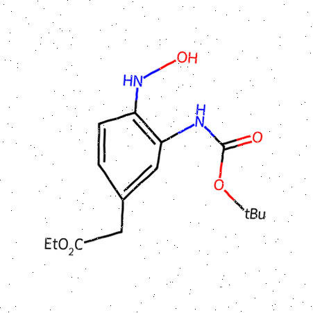 CCOC(=O)Cc1ccc(NO)c(NC(=O)OC(C)(C)C)c1